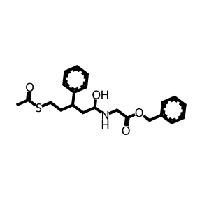 CC(=O)SCCC(CC(O)NCC(=O)OCc1ccccc1)c1ccccc1